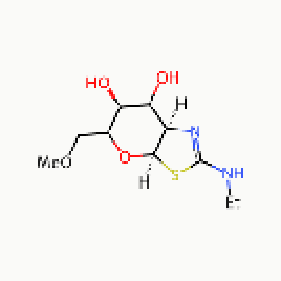 CCNC1=N[C@@H]2C(O)[C@H](O)C(COC)O[C@@H]2S1